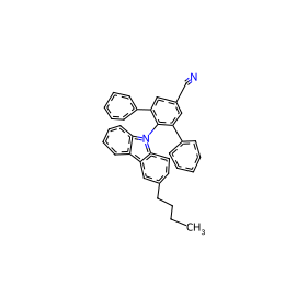 CCCCc1ccc2c(c1)c1ccccc1n2-c1c(-c2ccccc2)cc(C#N)cc1-c1ccccc1